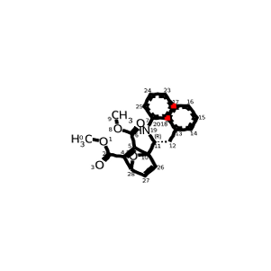 COC(=O)C1=C(C(=O)OC)C2([C@@H](Cc3ccccc3)Nc3ccccc3)C=CC1O2